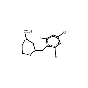 Cc1cc(Cl)cc(Br)c1CC1CN(C(=O)O)CCO1